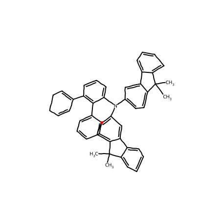 CC1(C)c2ccccc2-c2cc(N(c3ccc4c(c3)-c3ccccc3C4(C)C)c3cccc(C4=CCCC=C4)c3-c3ccccc3)ccc21